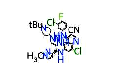 Cn1ccc([C@H](Nc2cc(Cl)c3ncc(C#N)c(Nc4ccc(F)c(Cl)c4)c3c2)C2=CN(C3CCN(C(C)(C)C)CC3)NN2)n1